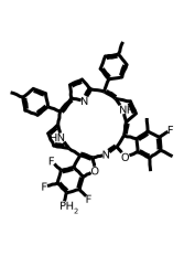 Cc1ccc(-c2c3nc(c(-c4ccc(C)cc4)c4ccc([nH]4)c4c(nc5oc6c(C)c(C)c(F)c(C)c6c5c5ccc2[nH]5)oc2c(F)c(P)c(F)c(F)c24)C=C3)cc1